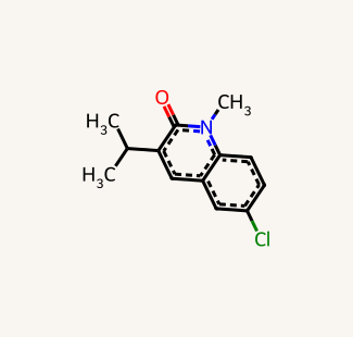 CC(C)c1cc2cc(Cl)ccc2n(C)c1=O